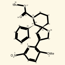 COc1ccc([N+](=O)[O-])nc1C1=C[C@@]2(CCCN(C(=O)OC(C)(C)C)[C@H]2c2ccccc2)OC1